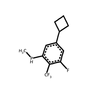 CPc1cc(C2CCC2)cc(F)c1C(F)(F)F